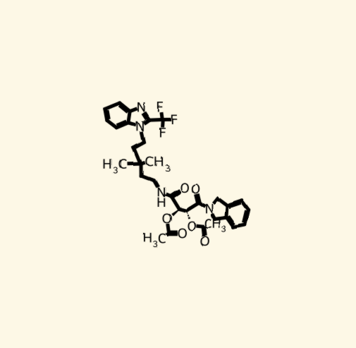 CC(=O)O[C@@H](C(=O)NCCC(C)(C)CCn1c(C(F)(F)F)nc2ccccc21)[C@@H](OC(C)=O)C(=O)N1Cc2ccccc2C1